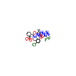 COC(=O)[C@@]1(C)CC=CCC1C(=O)N1CCc2c(Cl)ccc(OC/C(N)=C(\C(F)F)N(C)N)c2C1N1CC2(CC2)CC1=O